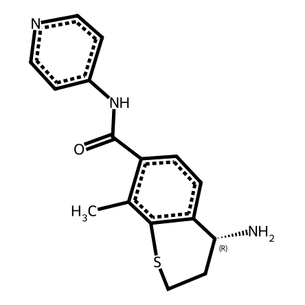 Cc1c(C(=O)Nc2ccncc2)ccc2c1SCC[C@H]2N